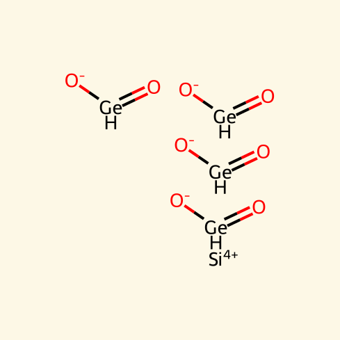 [O]=[GeH][O-].[O]=[GeH][O-].[O]=[GeH][O-].[O]=[GeH][O-].[Si+4]